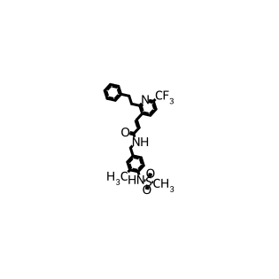 Cc1cc(CNC(=O)C=Cc2ccc(C(F)(F)F)nc2CCc2ccccc2)ccc1NS(C)(=O)=O